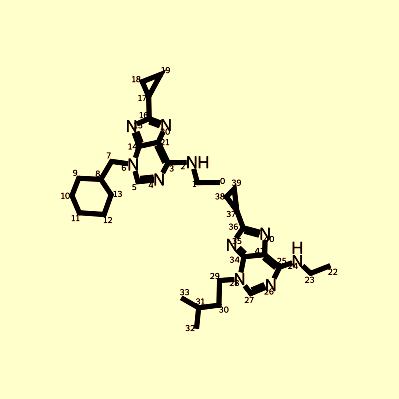 CCNc1ncn(CC2CCCCC2)c2nc(C3CC3)nc1-2.CCNc1ncn(CCC(C)C)c2nc(C3CC3)nc1-2